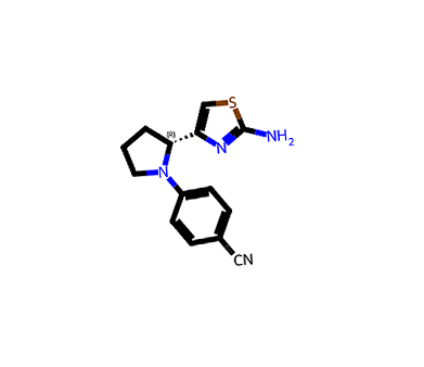 N#Cc1ccc(N2CCC[C@@H]2c2csc(N)n2)cc1